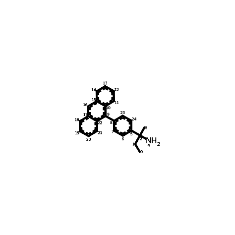 CCC(C)(N)c1ccc(-c2c3ccccc3cc3ccccc23)cc1